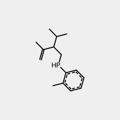 C=C(C)C(CPc1ccccc1C)C(C)C